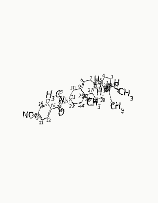 C[C@H]1[C@H]2CC[C@H]3[C@@H]4CC=C5C[C@@H](N(C)C(=O)c6ccc(C#N)cc6)CC[C@]5(C)C4CC[C@]23CN1C